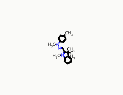 Cc1ccc(N(C)N=CC2=[N+](C)c3ccccc3C2(C)C)cc1